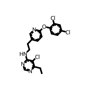 CCc1ncnc(NCCc2ccc(Oc3ccc(Cl)cc3Cl)nc2)c1Cl